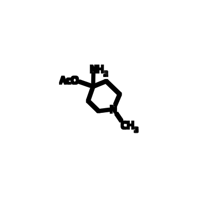 CC(=O)OC1(N)CCN(C)CC1